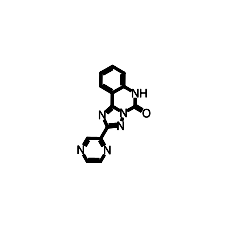 O=c1[nH]c2ccccc2c2nc(-c3cnccn3)nn12